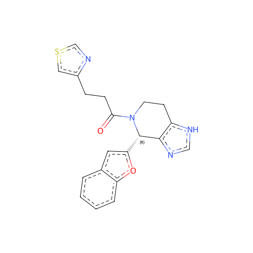 O=C(CCc1cscn1)N1CCc2[nH]cnc2[C@@H]1c1cc2ccccc2o1